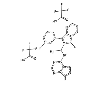 CC(Nc1ncnc2[nH]cnc12)c1c(Cl)c2cccnc2n1-c1cccc(F)c1.O=C(O)C(F)(F)F.O=C(O)C(F)(F)F